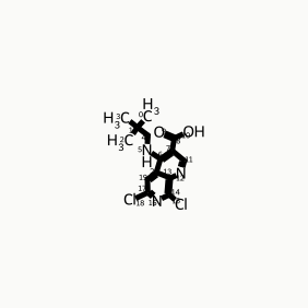 CC(C)(C)CNc1c(C(=O)O)cnc2c(Cl)nc(Cl)cc12